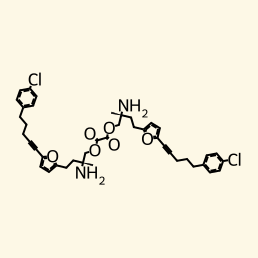 C[C@@](N)(CCc1ccc(C#CCCCc2ccc(Cl)cc2)o1)COC(=O)C(=O)OC[C@](C)(N)CCc1ccc(C#CCCCc2ccc(Cl)cc2)o1